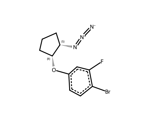 [N-]=[N+]=N[C@H]1CCC[C@H]1Oc1ccc(Br)c(F)c1